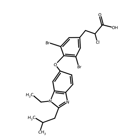 CCn1c(CC(C)C)nc2ccc(Oc3c(Br)cc(CC(Cl)C(=O)O)cc3Br)cc21